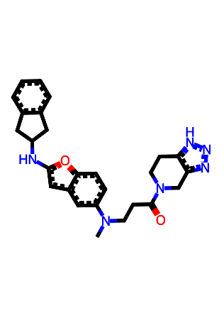 CN(CCC(=O)N1CCc2[nH]nnc2C1)c1ccc2oc(NC3Cc4ccccc4C3)cc2c1